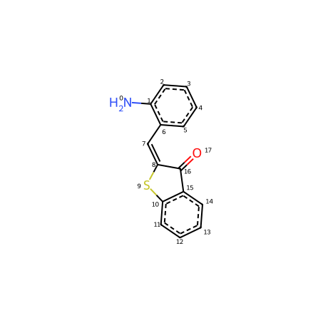 Nc1ccccc1/C=C1/Sc2ccccc2C1=O